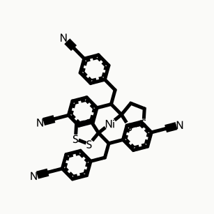 N#Cc1ccc(CC(c2ccc(C#N)cc2)[C]2([Ni][C]3(C(Cc4ccc(C#N)cc4)c4ccc(C#N)cc4)CCSS3)CCSS2)cc1